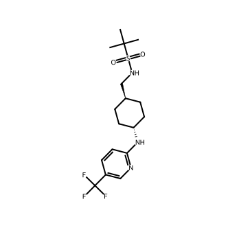 CC(C)(C)S(=O)(=O)NC[C@H]1CC[C@H](Nc2ccc(C(F)(F)F)cn2)CC1